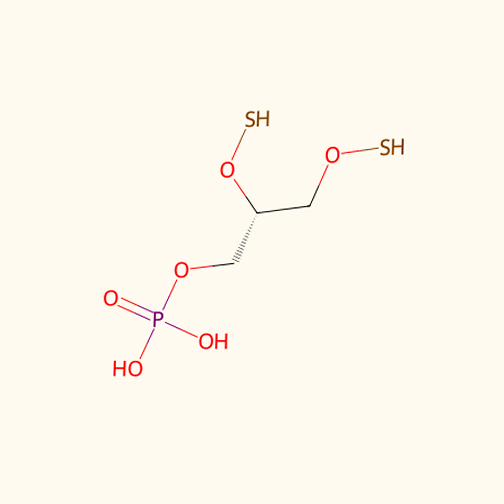 O=P(O)(O)OC[C@@H](COS)OS